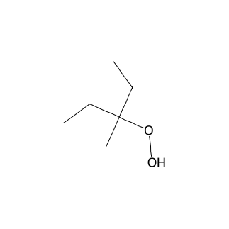 CCC(C)(CC)OO